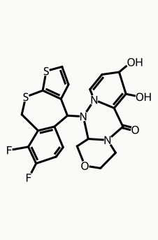 O=C1C2=C(O)C(O)C=CN2N(C2c3ccsc3SCc3c2ccc(F)c3F)C2COCCN12